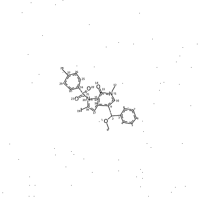 COC(c1ccccc1)c1cn(C)c(=O)c2c1cc(I)n2S(=O)(=O)c1ccc(C)cc1